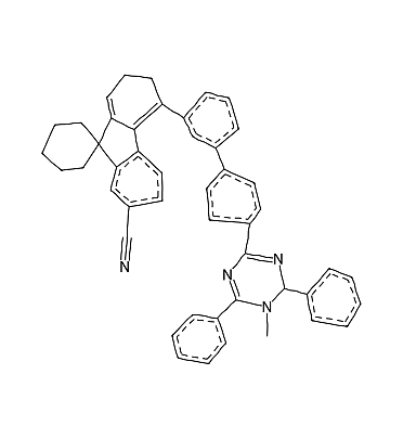 CN1C(c2ccccc2)=NC(c2ccc(-c3cccc(C4=C5C(=CCC4)C4(CCCCC4)c4cc(C#N)ccc45)c3)cc2)=NC1c1ccccc1